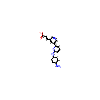 NC1CCC(Nc2cccc(-c3cncc(/C=C/C(=O)O)c3)n2)CC1